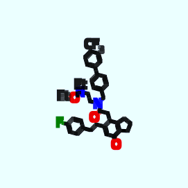 CCON(CC)CCN(Cc1ccc(-c2ccc(C(F)(F)F)cc2)cc1)C(=O)CC1C(CCc2ccc(F)cc2)=CC(=O)C2=C1CCC2